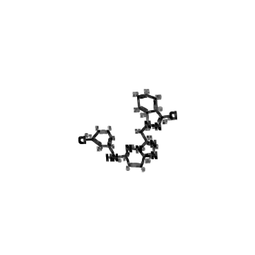 Clc1cccc(Nc2ccc3nnc(Cn4nc(Cl)c5ccccc54)n3n2)c1